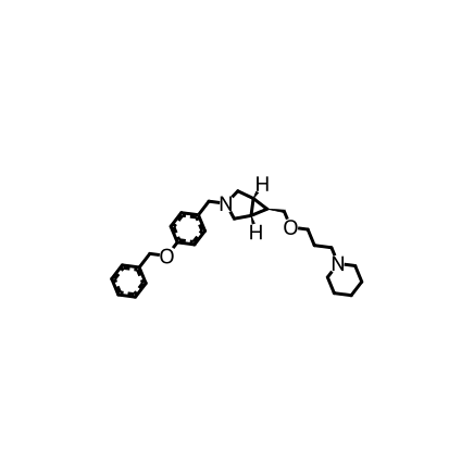 c1ccc(COc2ccc(CN3C[C@@H]4[C@@H](COCCCN5CCCCC5)[C@@H]4C3)cc2)cc1